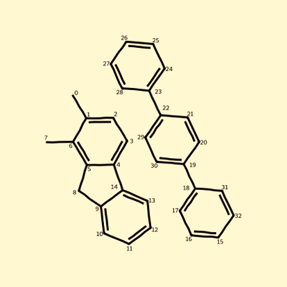 Cc1ccc2c(c1C)Cc1ccccc1-2.c1ccc(-c2ccc(-c3ccccc3)cc2)cc1